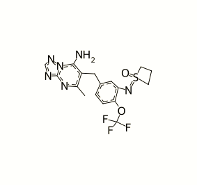 Cc1nc2ncnn2c(N)c1Cc1ccc(OC(F)(F)F)c(N=S2(=O)CCC2)c1